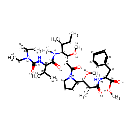 CC[C@H](C)[C@@H]([C@@H](CC(=O)N1CCCC1[C@H](OC)[C@@H](C)C(=O)NC(Cc1ccccc1)C(=O)OC)OC)N(C)C(=O)C(NC(=O)N(CC)C(C)C)C(C)C